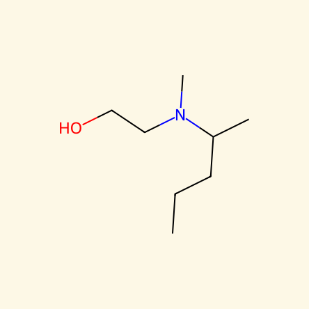 CCCC(C)N(C)CCO